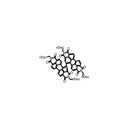 CCCCCCCCCCCN1C(=O)c2ccc3c4ccc5c6c(cc(-c7cc8c9c(ccc%10c%11ccc%12c%13c(ccc(c7c9%10)c%13%11)C(=O)N(CCCCCCCCCCC)C%12=O)C(=O)N(CCCCCCCCCCC)C8=O)c(c7ccc(c2c37)C1=O)c64)C(=O)N(CCCCCCCCCCC)C5=O